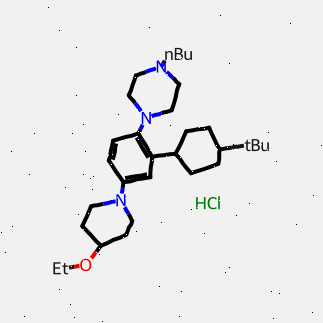 CCCCN1CCN(c2ccc(N3CCC(OCC)CC3)cc2C2CCC(C(C)(C)C)CC2)CC1.Cl